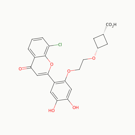 O=c1cc(-c2cc(O)c(O)cc2OCCO[C@H]2C[C@@H](C(=O)O)C2)oc2c(Cl)cccc12